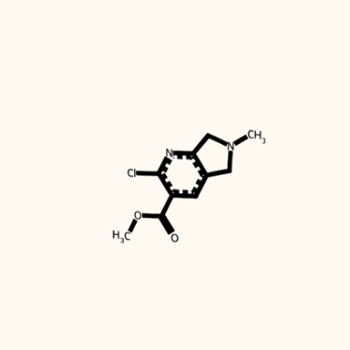 COC(=O)c1cc2c(nc1Cl)CN(C)C2